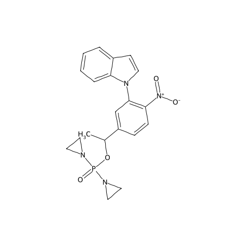 CC(OP(=O)(N1CC1)N1CC1)c1ccc([N+](=O)[O-])c(-n2ccc3ccccc32)c1